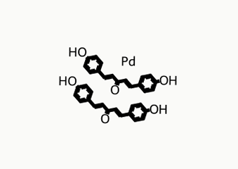 O=C(C=Cc1ccc(O)cc1)C=Cc1ccc(O)cc1.O=C(C=Cc1ccc(O)cc1)C=Cc1ccc(O)cc1.[Pd]